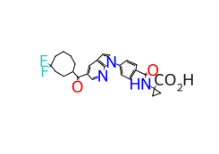 O=C(NC1(C(=O)O)CC1)c1ccc(-n2ccc3cc(C(=O)C4CCCCC(F)(F)CC4)cnc32)cc1